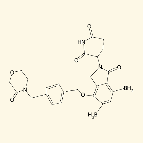 Bc1cc(B)c2c(c1OCc1ccc(CN3CCOCC3=O)cc1)CN(C1CCC(=O)NC1=O)C2=O